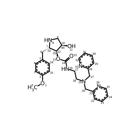 COc1ccc(C[C@@H]2NC[C@@H](O)[C@H]2OC(=O)NCCN(Cc2ccccn2)Cc2ccccn2)cc1